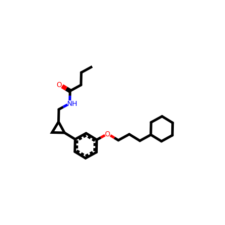 CCCC(=O)NCC1CC1c1cccc(OCCCC2CCCCC2)c1